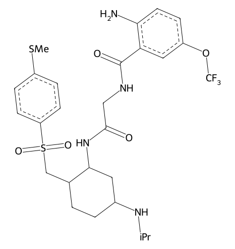 CSc1ccc(S(=O)(=O)CC2CCC(NC(C)C)CC2NC(=O)CNC(=O)c2cc(OC(F)(F)F)ccc2N)cc1